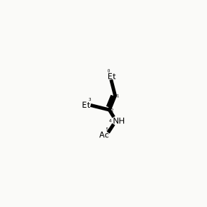 CC/C=C(\CC)NC(C)=O